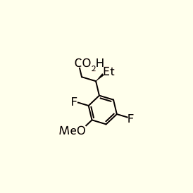 CC[C@H](CC(=O)O)c1cc(F)cc(OC)c1F